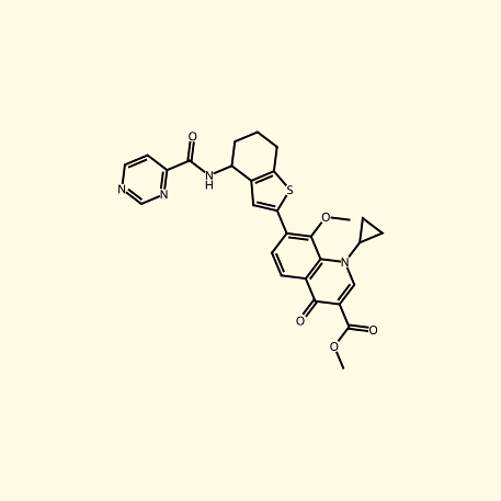 COC(=O)c1cn(C2CC2)c2c(OC)c(-c3cc4c(s3)CCCC4NC(=O)c3ccncn3)ccc2c1=O